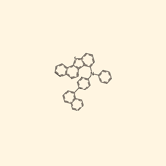 c1ccc(N(c2ccc(-c3cccc4ccccc34)cc2)c2cccc3sc4c5ccccc5ccc4c23)cc1